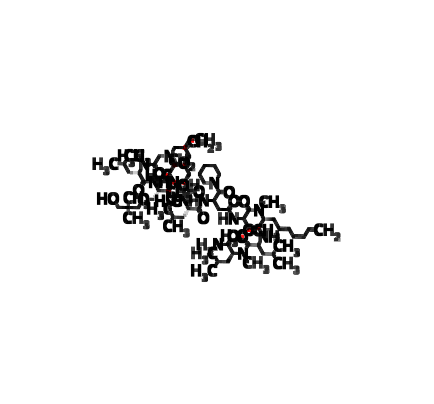 C=C/C=C\C=C\C[C@@H](C(=O)NC(CC(C)C)C(=O)N(C)[C@@H](CC(C)C)C(N)=O)N(C)C(=O)C(NC(=O)CC(NC(=O)[C@H](CC(C)C)N(C)C(=O)[C@H](C/C(C=C)=C/C=C)N(C)C(=O)[C@H](COCC(C)(C)CO)NC(=O)[C@H](CC(C)C)N(C)C(=O)CN(CCCC)C(=O)C[C@@H](C)O)C(=O)N1CCCCC1)C(C)C